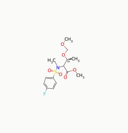 COCO[C@@H](C)C(C(=O)OC)N(C)S(=O)(=O)c1ccc(F)cc1